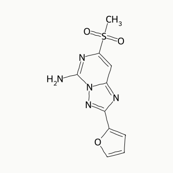 CS(=O)(=O)c1cc2nc(-c3ccco3)nn2c(N)n1